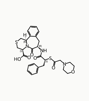 O=C(CN1CCOCC1)S[C@@H](Cc1ccccc1)C(=O)N[C@@H]1Cc2ccccc2[C@@H]2CSC[C@H](C(=O)O)N2C1=O